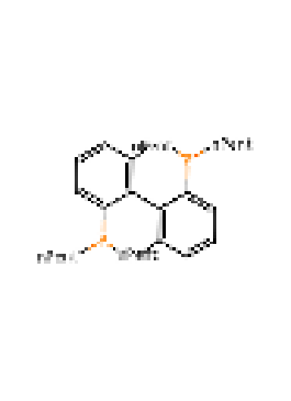 CCCCCP(CCCCC)c1cccc(C)c1-c1c(C)cccc1P(CCCCC)CCCCC